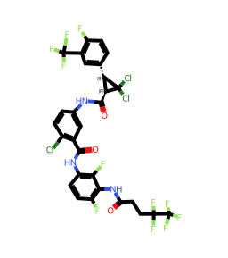 O=C(CCC(F)(F)C(F)(F)F)Nc1c(F)ccc(NC(=O)c2cc(NC(=O)[C@H]3[C@H](c4ccc(F)c(C(F)(F)F)c4)C3(Cl)Cl)ccc2Cl)c1F